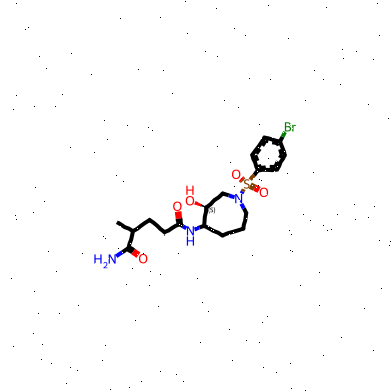 CC(C[CH]C(=O)NC1CCCN(S(=O)(=O)c2ccc(Br)cc2)C[C@@H]1O)C(N)=O